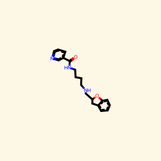 O=C(NCCCCNCC1Cc2ccccc2O1)c1cccnc1